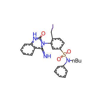 CCCCN(c1ccccc1)S(=O)(=O)c1ccc(CI)c(-n2c(=O)[nH]c3ccccc3c2=N)c1